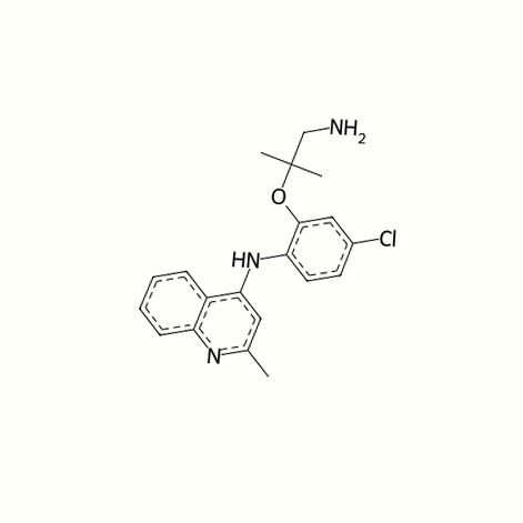 Cc1cc(Nc2ccc(Cl)cc2OC(C)(C)CN)c2ccccc2n1